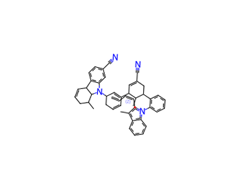 C=C/C=C\c1c(C)c2ccccc2n1-c1ccccc1C1CC(C#N)=CC(C2=CC(N3c4cc(C#N)ccc4C4C=CCC(C)C43)CC=C2)C1C